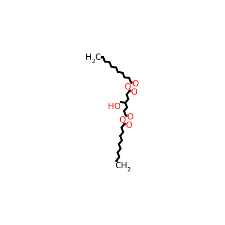 C=CCCCCCCCCC(=O)OC(=O)CC[C](CO)CCC(=O)OC(=O)CCCCCCCCC=C